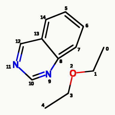 CCOCC.c1ccc2ncncc2c1